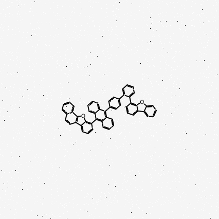 c1ccc(-c2cccc3c2oc2ccccc23)c(-c2ccc(-c3c4ccccc4c(-c4cccc5c4oc4c6ccccc6ccc54)c4ccccc34)cc2)c1